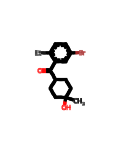 CCc1ccc(Br)cc1C(=O)C1CCC(C)(O)CC1